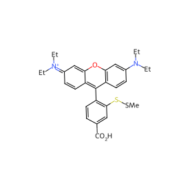 CCN(CC)c1ccc2c(-c3ccc(C(=O)O)cc3SSC)c3ccc(=[N+](CC)CC)cc-3oc2c1